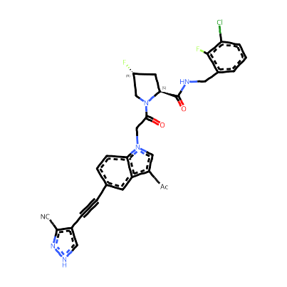 CC(=O)c1cn(CC(=O)N2C[C@H](F)C[C@H]2C(=O)NCc2cccc(Cl)c2F)c2ccc(C#Cc3c[nH]nc3C#N)cc12